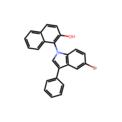 Oc1ccc2ccccc2c1-n1cc(-c2ccccc2)c2cc(Br)ccc21